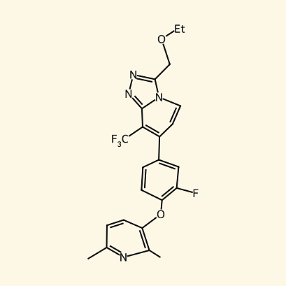 CCOCc1nnc2c(C(F)(F)F)c(-c3ccc(Oc4ccc(C)nc4C)c(F)c3)ccn12